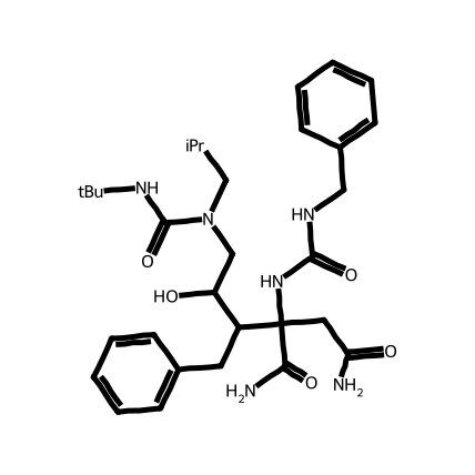 CC(C)CN(CC(O)C(Cc1ccccc1)C(CC(N)=O)(NC(=O)NCc1ccccc1)C(N)=O)C(=O)NC(C)(C)C